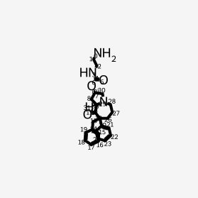 NCCNC(=O)O[C@@H]1C[C@H]2C(=O)C(Cc3ccccc3)(c3ccccc3)CCCN2C1